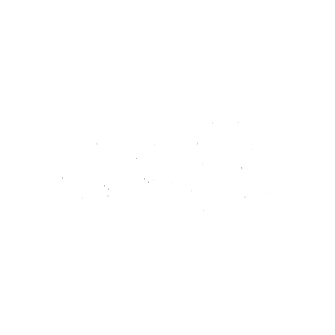 O=S(=O)(NC1(c2ccccn2)CC1)c1ccc(Br)c2ccccc12